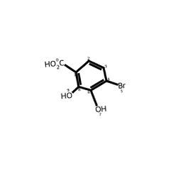 O=C(O)c1ccc(Br)c(O)c1O